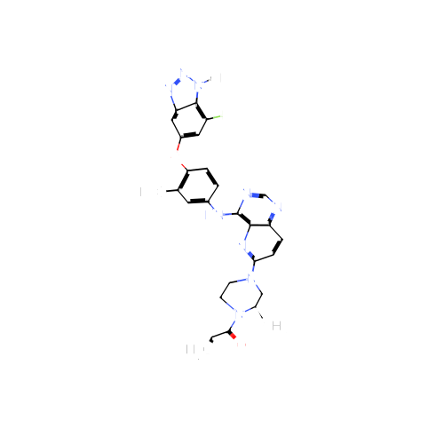 C=CC(=O)N1CCN(c2ccc3ncnc(Nc4ccc(Oc5cc(F)c6c(c5)nnn6C)c(C)c4)c3n2)C[C@H]1C